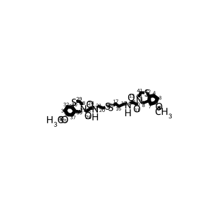 COc1ccc2c(c1)CN(C(=O)C(=O)NCCCSSCCNC(=O)C(=O)N1CCSc3ccc(OC)cc3C1)CCS2